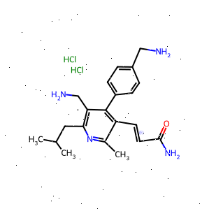 Cc1nc(CC(C)C)c(CN)c(-c2ccc(CN)cc2)c1/C=C/C(N)=O.Cl.Cl